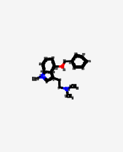 CCn1cc(CCN(C)C)c2c(OCc3ccccc3)cccc21